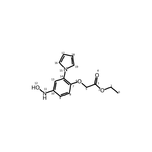 CCOC(=O)COc1ccc(NO)cc1-n1cccc1